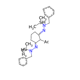 CC(=O)C1C(=NN(Cc2ccccc2)[SiH](C)C)CCCC1=NN(Cc1ccccc1)[SiH](C)C